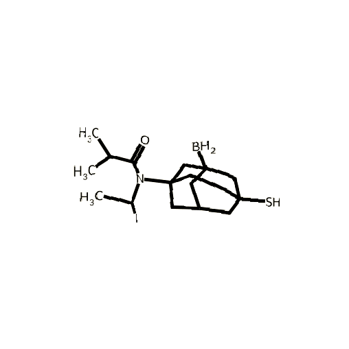 BC12CC3CC(S)(C1)CC(N(C(=O)C(C)C)C(C)I)(C3)C2